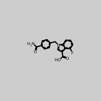 NC(=O)c1ccc(Cn2cc(C(=O)O)c3c(F)cccc32)cc1